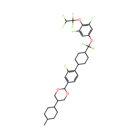 CC1CCC(C2COC(c3ccc(C4CCC(C(F)(F)Oc5cc(F)c(OC(F)(F)C(F)F)c(F)c5)CC4)c(F)c3)OC2)CC1